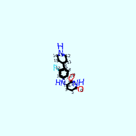 O=C1CC[C@H](Nc2ccc(C3CCNCC3)c(F)c2)C(=O)N1